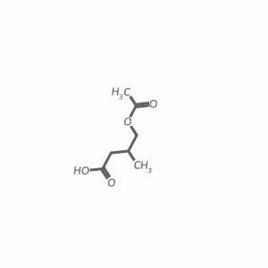 CC(=O)OCC(C)CC(=O)O